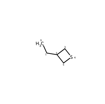 CCC1CSC1